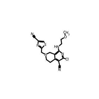 COCCNc1nc(Cl)c(C#N)c2c1CN(Cc1nc(C#N)cs1)CC2